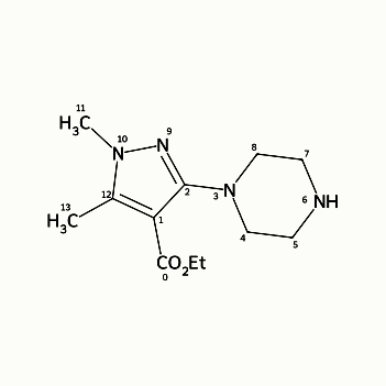 CCOC(=O)c1c(N2CCNCC2)nn(C)c1C